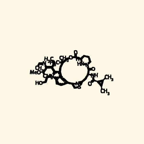 C=C/C(=C(\N=C/C)[C@H](C)OC)c1c2c3cc(ccc3n1CCO)C1CSC(=N1)C[C@H](NC(=O)[C@H]1[C@H](C)[C@@H]1C)C(=O)N1CCC[C@H](N1)C(=O)OCC(C)(C)C2